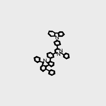 C1=CC2c3ccccc3N(c3ccc(-c4cc(-c5cccc(-c6cccc7c6nc(-c6ccccc6)c6cccc(-c8ccccc8)c67)c5)nc(-c5ccccc5)n4)cc3)C2C=C1